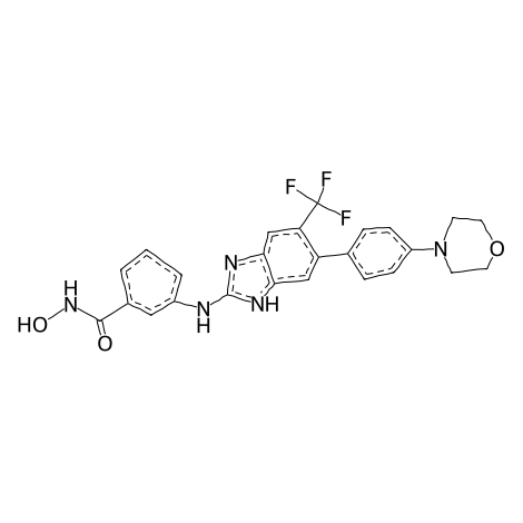 O=C(NO)c1cccc(Nc2nc3cc(C(F)(F)F)c(-c4ccc(N5CCOCC5)cc4)cc3[nH]2)c1